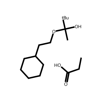 CC(C)(C)C(C)(O)OCCC1CCCCC1.CCC(=O)O